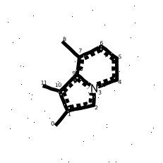 Cc1cn2cccc(C)c2c1C